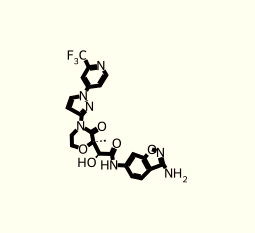 C[C@]1([C@@H](O)C(=O)Nc2ccc3c(N)noc3c2)OCCN(c2ccn(-c3ccnc(C(F)(F)F)c3)n2)C1=O